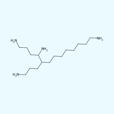 NCCCCCCCCC(CCCN)C(N)CCCN